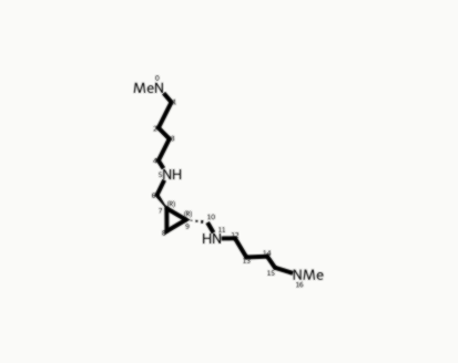 CNCCCCNC[C@@H]1C[C@H]1CNCCCCNC